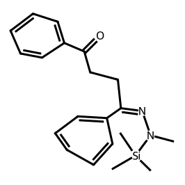 CN(/N=C(/CCC(=O)c1ccccc1)c1ccccc1)[Si](C)(C)C